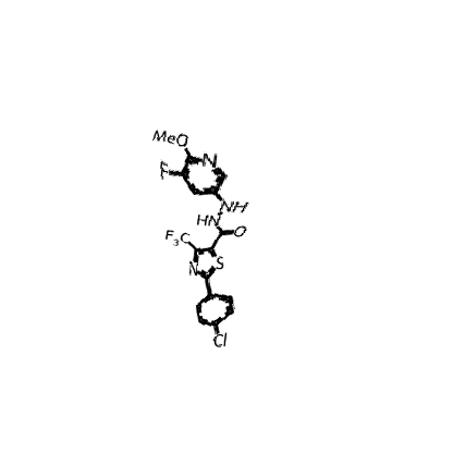 COc1ncc(NNC(=O)c2sc(-c3ccc(Cl)cc3)nc2C(F)(F)F)cc1F